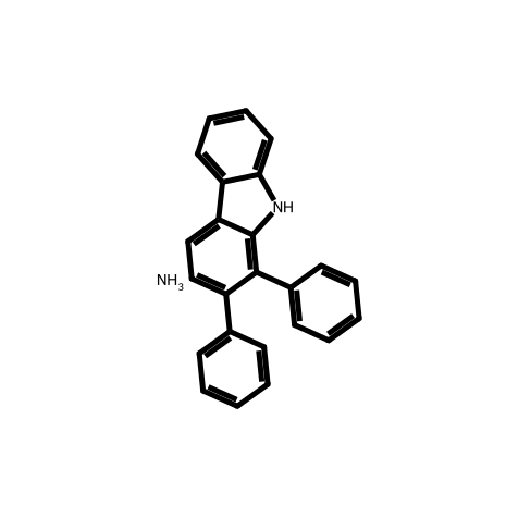 N.c1ccc(-c2ccc3c([nH]c4ccccc43)c2-c2ccccc2)cc1